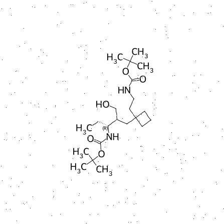 CC[C@@H](NC(=O)OC(C)(C)C)C(CO)CC1(CCNC(=O)OC(C)(C)C)CCC1